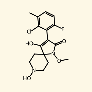 CON1C(=O)C(c2c(F)ccc(C)c2Cl)=C(O)C12CCN(O)CC2